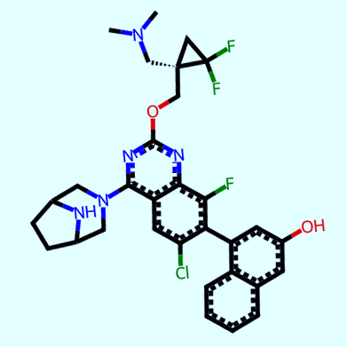 CN(C)C[C@]1(COc2nc(N3CC4CCC(C3)N4)c3cc(Cl)c(-c4cc(O)cc5ccccc45)c(F)c3n2)CC1(F)F